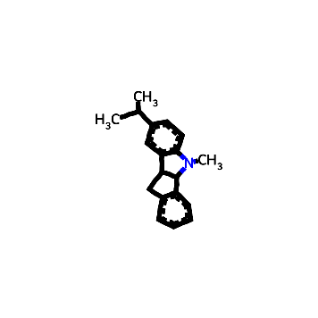 CC(C)c1ccc2c(c1)C1Cc3ccccc3C1N2C